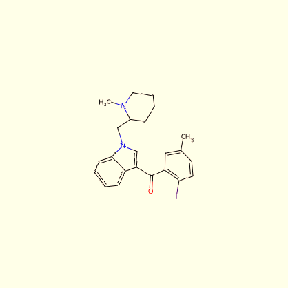 Cc1ccc(I)c(C(=O)c2cn(CC3CCCCN3C)c3ccccc23)c1